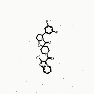 O=C(c1c(Cl)nc2ccccn12)N1CCC2(CC1)OC1CCC(c3cc(F)cc(F)c3)N1C2=O